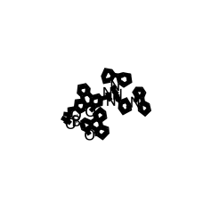 CC1(C)OB(c2cc3oc4cccc5c6ccccc6c(c2)c3c45)OC1(C)Cc1cc2oc3cc(-c4nc(-c5cccc(-n6c7ccccc7c7ccccc76)c5)nc(-n5c6ccccc6c6ccccc65)n4)cc4c5ccccc5c(c1)c2c34